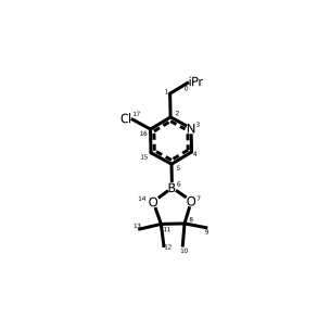 CC(C)Cc1ncc(B2OC(C)(C)C(C)(C)O2)cc1Cl